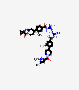 Cc1cc(C(=O)N2CCC(c3ccc(C(=O)NC(=N)NN=C(N)NC(=O)c4ccc(C5CCN(C(=O)C6(N)CC6)CC5)c(C(F)(F)F)c4)cc3C(F)(F)F)CC2)nn1C